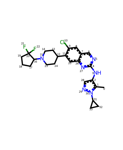 Cc1c(Nc2ncc3cc(Cl)c(C4CCN(C5CCCC5(F)F)CC4)cc3n2)cnn1C1CC1